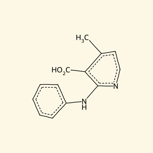 Cc1ccnc(Nc2ccccc2)c1C(=O)O